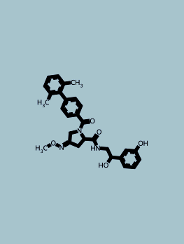 CON=C1CC(C(=O)NCC(O)c2cccc(O)c2)N(C(=O)c2ccc(-c3c(C)cccc3C)cc2)C1